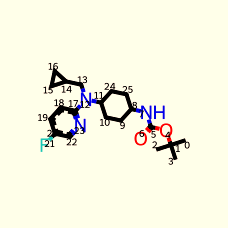 CC(C)(C)OC(=O)NC1CCC(N(CC2CC2)c2ccc(F)cn2)CC1